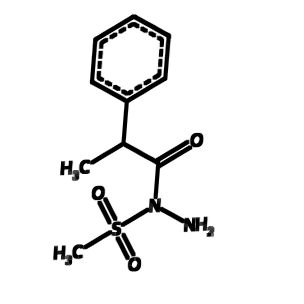 CC(C(=O)N(N)S(C)(=O)=O)c1ccccc1